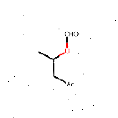 CC(=O)CC(C)O[C]=O